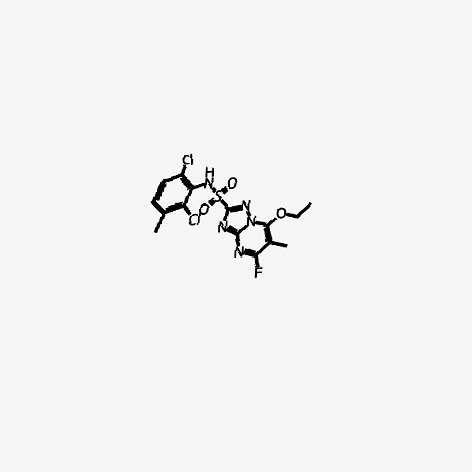 CCOc1c(C)c(F)nc2nc(S(=O)(=O)Nc3c(Cl)ccc(C)c3Cl)nn12